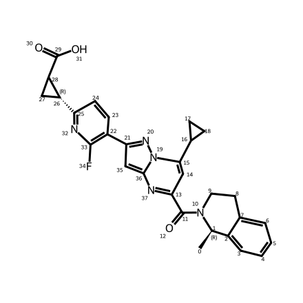 C[C@@H]1c2ccccc2CCN1C(=O)c1cc(C2CC2)n2nc(-c3ccc([C@@H]4CC4C(=O)O)nc3F)cc2n1